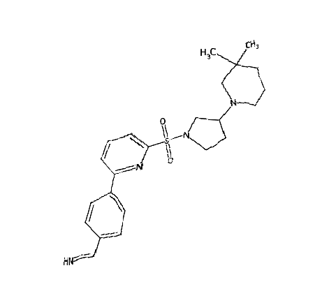 CC1(C)CCCN(C2CCN(S(=O)(=O)c3cccc(-c4ccc(C=N)cc4)n3)C2)C1